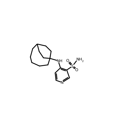 NS(=O)(=O)c1cnccc1NC12CCCCCC(CC1)CC2